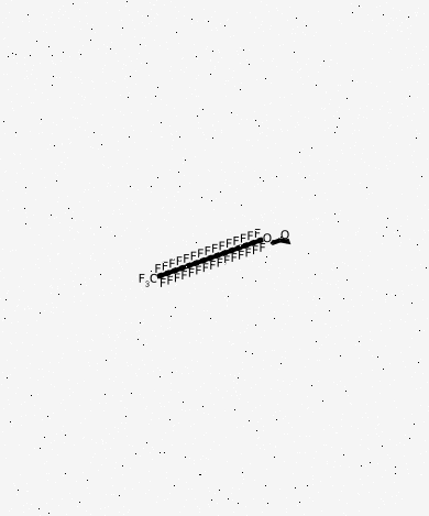 FC(F)(F)C(F)(F)C(F)(F)C(F)(F)C(F)(F)C(F)(F)C(F)(F)C(F)(F)C(F)(F)C(F)(F)C(F)(F)C(F)(F)C(F)(F)C(F)(F)C(F)(F)C(F)(F)OCC1CO1